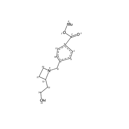 CC(C)(C)OC(=O)c1ccc(CN2CCC2CCO)cc1